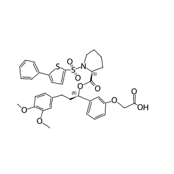 COc1ccc(CC[C@@H](OC(=O)[C@@H]2CCCCN2S(=O)(=O)c2ccc(-c3ccccc3)s2)c2cccc(OCC(=O)O)c2)cc1OC